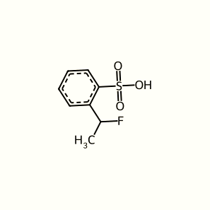 CC(F)c1ccccc1S(=O)(=O)O